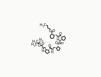 CCCCOC(=O)[C@@H]1CCC[C@H]1CNC(=O)[C@@H]1CCC[C@H]1CNC(=O)[C@@H]1CCC[C@H]1CNC(=O)[C@@H]1CCC[C@H]1CNC(=O)OC(C)(C)C